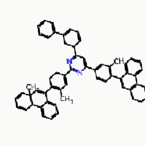 CC1=C(C2=CC3(C)C=CC=CC3c3ccccc32)CCC(c2nc(-c3ccc(-c4cc5c(c6ccccc46)C=CCC5)c(C)c3)cc(C3C=CC=C(c4ccccc4)C3)n2)=C1